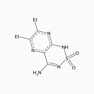 CCc1nc2c(nc1CC)C(N)=NS(=O)(=O)N2